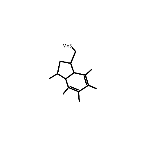 CSCC1CC(C)C2C(C)=C(C)C(C)=C(C)C12